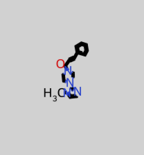 Cn1ccnc1N1CCN(C(=O)C#Cc2ccccc2)CC1